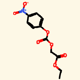 CCOC(=O)COC(=O)Oc1ccc([N+](=O)[O-])cc1